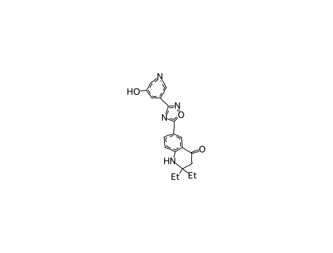 CCC1(CC)CC(=O)c2cc(-c3nc(-c4cncc(O)c4)no3)ccc2N1